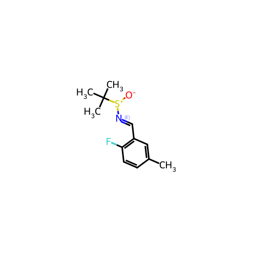 Cc1ccc(F)c(/C=N/[S+]([O-])C(C)(C)C)c1